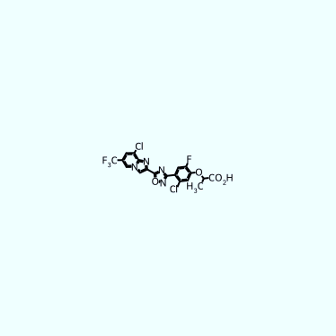 CC(Oc1cc(Cl)c(-c2noc(-c3cn4cc(C(F)(F)F)cc(Cl)c4n3)n2)cc1F)C(=O)O